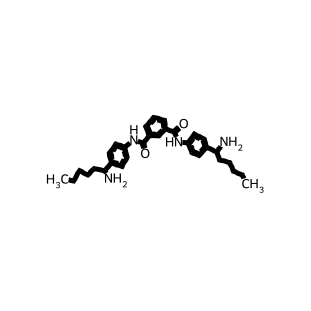 CCCCCC(N)c1ccc(NC(=O)c2cccc(C(=O)Nc3ccc(C(N)CCCCC)cc3)c2)cc1